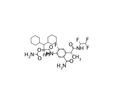 CCC[C@@](OC(N)=O)(C(=O)Nc1cc(C(N)=O)c(C(C)C(=O)NC(F)C(F)F)cc1F)C(C1CCCCC1)C1CCCCC1